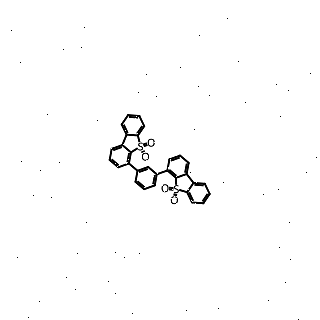 O=S1(=O)c2ccccc2-c2cccc(-c3cccc(-c4cccc5c4S(=O)(=O)c4ccccc4-5)c3)c21